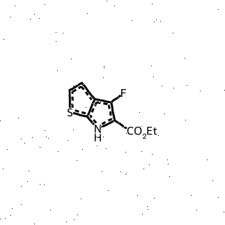 CCOC(=O)c1[nH]c2sccc2c1F